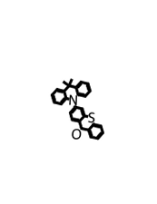 CC1(C)c2ccccc2N(c2ccc3c(=O)c4ccccc4sc3c2)c2ccccc21